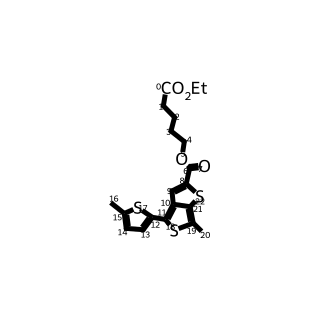 CCOC(=O)CCCCOC(=O)c1cc2c(-c3ccc(C)s3)sc(C)c2s1